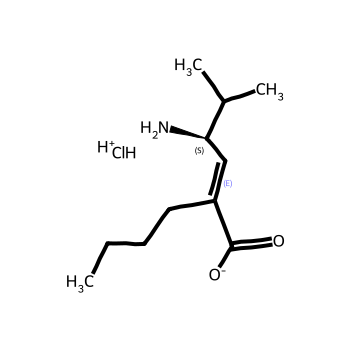 CCCC/C(=C\[C@@H](N)C(C)C)C(=O)[O-].Cl.[H+]